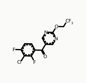 O=C(c1cnc(OCC(F)(F)F)nc1)c1ccc(F)c(Cl)c1F